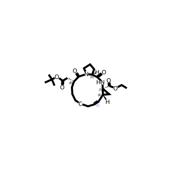 CCOC(=O)[C@]12C[C@@H]1/C=C\CCCCC[C@H](CC(=O)OC(C)(C)C)C(=O)N1CCC[C@H]1C(=O)N2